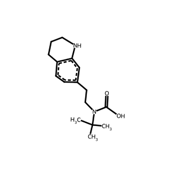 CC(C)(C)N(CCc1ccc2c(c1)NCCC2)C(=O)O